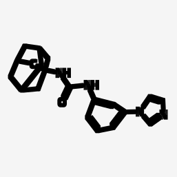 O=C(Nc1cccc(-n2ccnc2)c1)NC12CC3CC(CC(C3)C1)C2